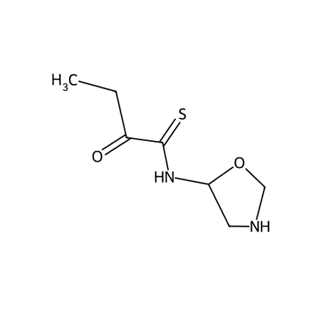 CCC(=O)C(=S)NC1CNCO1